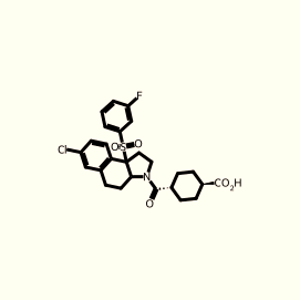 O=C(O)[C@H]1CC[C@H](C(=O)N2CCC3(S(=O)(=O)c4cccc(F)c4)c4ccc(Cl)cc4CCC23)CC1